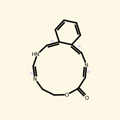 O=C1\C=N/C=c2/cccc/c2=C/N/C=N\CCO1